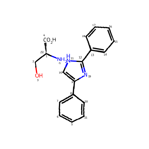 N[C@@H](CO)C(=O)O.c1ccc(-c2c[nH]c(-c3ccccc3)n2)cc1